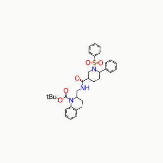 CC(C)(C)OC(=O)N1c2ccccc2CCC1CNC(=O)C1CCC(c2ccccc2)N(S(=O)(=O)c2ccccc2)C1